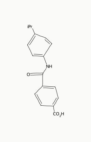 CC(C)c1ccc(NC(=O)c2ccc(C(=O)O)cc2)cc1